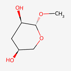 CO[C@@H]1OC[C@@H](O)C[C@H]1O